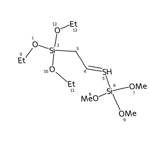 CCO[Si](CC=[SH][Si](OC)(OC)OC)(OCC)OCC